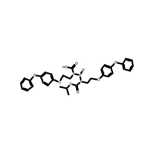 CC(C)OC(=O)N(CCOc1ccc(Oc2ccccc2)cc1)[S+]([O-])N(CCOc1ccc(Oc2ccccc2)cc1)C(=O)O